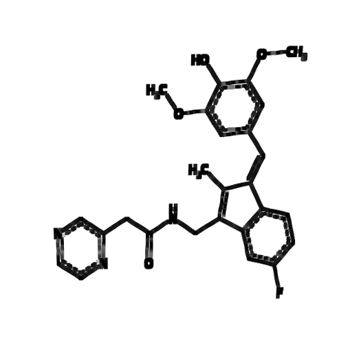 COc1cc(C=C2C(C)=C(CNC(=O)Cc3cnccn3)c3cc(F)ccc32)cc(OC)c1O